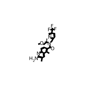 COC[C@@H](C)N(Cc1ccc(C(F)(F)F)cn1)C(=O)c1ccc2nc(N)c(C)cc2c1C